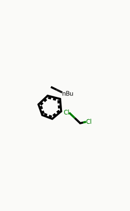 CCCCC.ClCCl.c1ccccc1